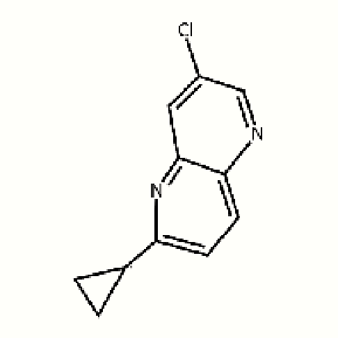 Clc1cnc2ccc([C]3CC3)nc2c1